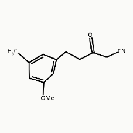 COc1cc(C)cc(CCC(=O)CC#N)c1